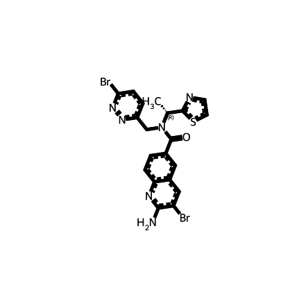 C[C@H](c1nccs1)N(Cc1ccc(Br)nn1)C(=O)c1ccc2nc(N)c(Br)cc2c1